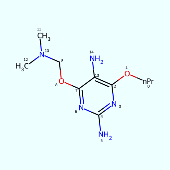 CCCOc1nc(N)nc(OCN(C)C)c1N